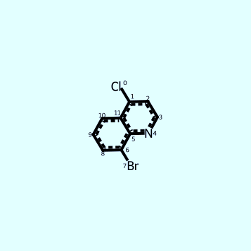 Clc1ccnc2c(Br)cccc12